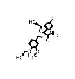 C#CCOc1ccc(CC[C@@](OCC#C)(C(N)=O)c2ccc(Cl)cc2)cc1OC